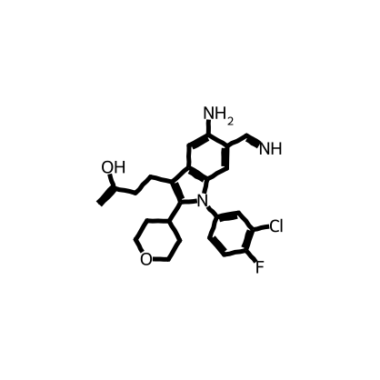 C=C(O)CCc1c(C2CCOCC2)n(-c2ccc(F)c(Cl)c2)c2cc(C=N)c(N)cc12